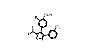 O=S(=O)(O)c1ccc(-c2c(-c3cccc(C(F)(F)F)c3)noc2C(F)F)cc1F